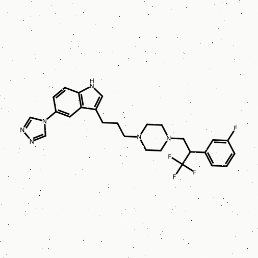 Fc1cccc(C(CN2CCN(CCCc3c[nH]c4ccc(-n5cnnc5)cc34)CC2)C(F)(F)F)c1